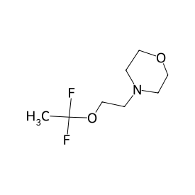 CC(F)(F)OCCN1CCOCC1